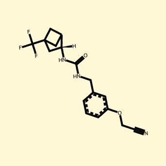 N#CCOc1cccc(CNC(=O)N[C@@H]2CC3(C(F)(F)F)CC2C3)c1